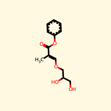 CC(=COCC(O)CO)C(=O)Oc1ccccc1